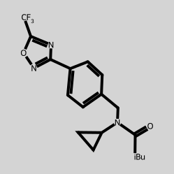 CCC(C)C(=O)N(Cc1ccc(-c2noc(C(F)(F)F)n2)cc1)C1CC1